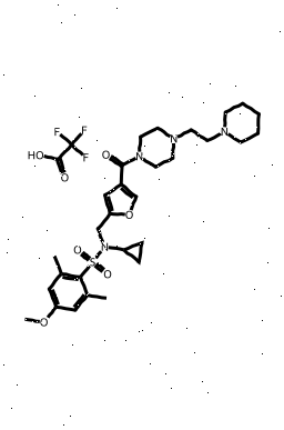 COc1cc(C)c(S(=O)(=O)N(Cc2cc(C(=O)N3CCN(CCN4CCCCC4)CC3)co2)C2CC2)c(C)c1.O=C(O)C(F)(F)F